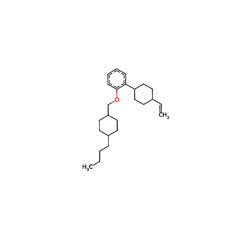 C=CC1CCC(c2ccccc2OCC2CCC(CCCC)CC2)CC1